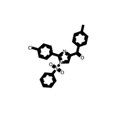 Cc1ccc(C(=O)c2cn(S(=O)(=O)c3ccccc3)c(-c3ccc(Cl)cc3)n2)cc1